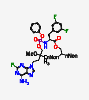 CCCCCCCCCC(CCCCCCCCC)COC(=O)[C@H](Cc1cc(F)cc(F)c1)NP(=O)(OC[C@](C)(CCn1cnc2c(N)nc(F)nc21)OC)Oc1ccccc1